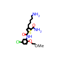 COCCOc1ccc(Cl)cc1NC(=O)c1cc(CCCCCN)c(C(N)=O)s1